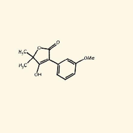 COc1cccc(C2=C(O)C(C)(C)OC2=O)c1